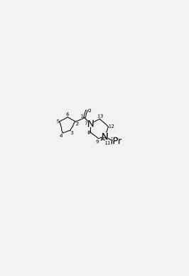 C=C(C1CCCC1)N1CCN(C(C)C)CC1